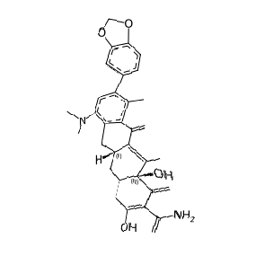 C=C(N)C1=C(O)CC2C[C@@H]3Cc4c(N(C)C)cc(-c5ccc6c(c5)OCO6)c(C)c4C(=C)C3=C(C)[C@]2(O)C1=C